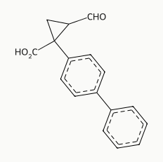 O=CC1CC1(C(=O)O)c1ccc(-c2ccccc2)cc1